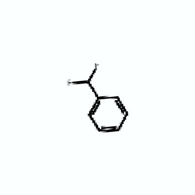 FC(F)c1[c]cccc1